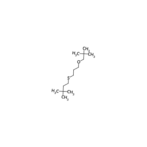 CC(C)(C)CCSCCCOCC(C)(C)C